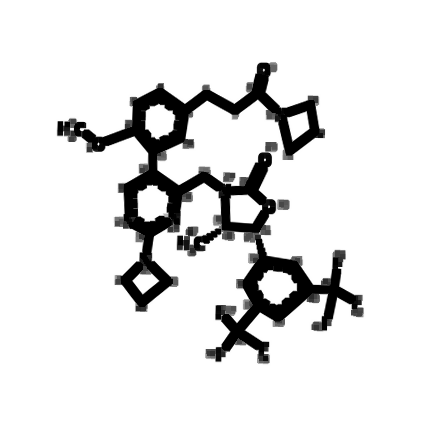 COc1ccc(CCC(=O)N2CCC2)cc1-c1cnc(N2CCC2)nc1CN1C(=O)O[C@H](c2cc(C(F)(F)F)cc(C(F)(F)F)c2)[C@@H]1C